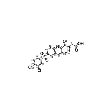 O=C(O)CNC(=O)c1nc2ccc(S(=O)(=O)c3ccc(Cl)c(Cl)c3)cc2cc1O